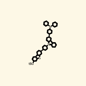 CC(C)(C)c1ccc2c(c1)sc1cc(-c3ccc(-n4c5ccccc5c5cc(-c6ccc(N(c7ccccc7)c7ccccc7)cc6)ccc54)cc3)ccc12